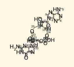 CNc1ncnc2c1ncn2[C@@H]1O[C@@H]2COP(=O)(O)O[C@@H]3[C@H](O)C(OCC[C@H]2[C@H]1O)O[C@H]3n1cnc2c(=O)[nH]c(N)nc21